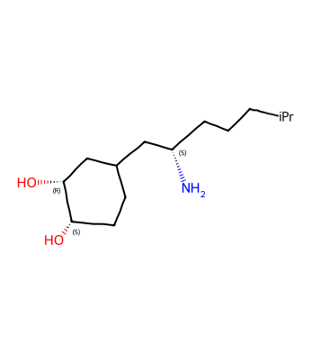 CC(C)CCC[C@H](N)CC1CC[C@H](O)[C@H](O)C1